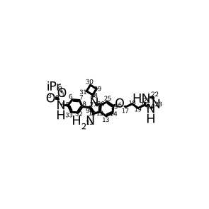 CC(C)OC(=O)Nc1ccc(-c2c(N)c3ccc(OCCCC4NC=NN4)cc3n2C2CCC2)cc1